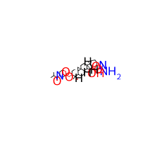 CC(C)C(=O)N1CCO[C@@H](O[C@H]2CC[C@]34C[C@]35CC[C@]3(C)[C@H]6[C@H](O[C@@H](CN(C)C(N)=O)C[C@H]6C)[C@H](O)[C@@]3(C)[C@@H]5CC[C@H]4C2(C)C)C1